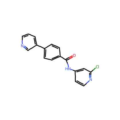 O=C(Nc1ccnc(Cl)c1)c1ccc(-c2cccnc2)cc1